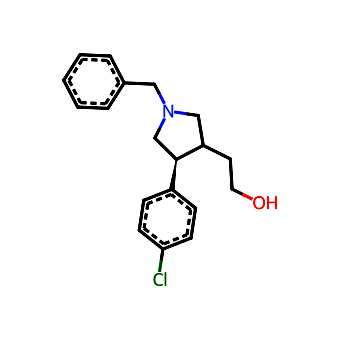 OCCC1CN(Cc2ccccc2)C[C@@H]1c1ccc(Cl)cc1